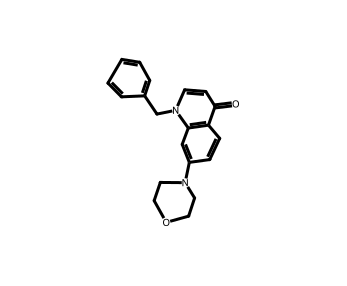 O=c1ccn(Cc2ccccc2)c2cc(N3CCOCC3)ccc12